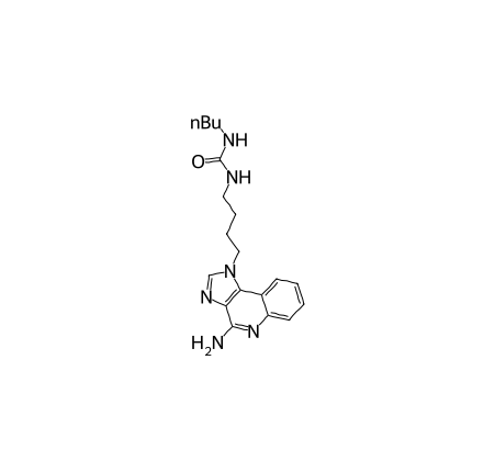 CCCCNC(=O)NCCCCn1cnc2c(N)nc3ccccc3c21